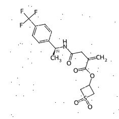 C=C(CC(=O)N[C@@H](C)c1ccc(C(F)(F)F)cc1)C(=O)OC1CS(=O)(=O)C1